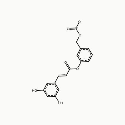 O=C(/C=C/c1cc(O)cc(O)c1)Oc1cccc(CO[N+](=O)[O-])c1